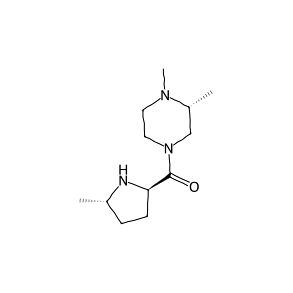 C[C@@H]1CN(C(=O)[C@H]2CC[C@H](C)N2)CCN1C